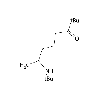 CC(CCCC(=O)C(C)(C)C)NC(C)(C)C